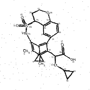 C.Cc1cc2c(C3CC3)c(c1C(OC1CC1)C(=O)O)-c1ccc3c(c1)C(CCO3)S(=O)(=O)N2